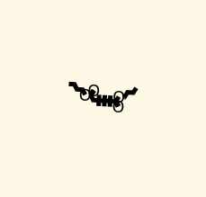 CCCCOC(=O)CC(C)(C)C(C)(C)C(C)(C)C(=O)OCCCC